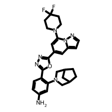 Nc1ccc(-c2nnc(-c3cc(N4CCC(F)(F)CC4)n4nccc4c3)o2)c(N2CC3CCC(C3)C2)c1